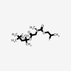 CC(I)COC(=O)N(C)CC(=O)OC(C)(C)CC(C)(C)C